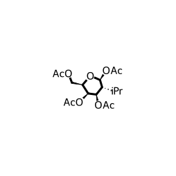 CC(=O)OC[C@H]1O[C@@H](OC(C)=O)[C@H](C(C)C)[C@@H](OC(C)=O)[C@H]1OC(C)=O